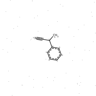 CC(C#N)c1[c]cccc1